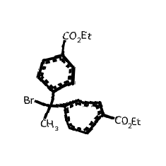 CCOC(=O)c1ccc(C(C)(Br)c2ccc(C(=O)OCC)cc2)cc1